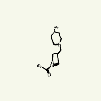 CC(C)C(=O)N1CC(CN2CCN(C(C)C)CC2)C1